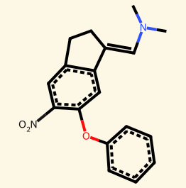 CN(C)C=C1CCc2cc([N+](=O)[O-])c(Oc3ccccc3)cc21